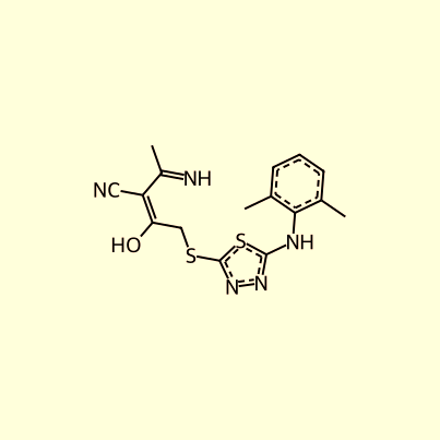 CC(=N)/C(C#N)=C(/O)CSc1nnc(Nc2c(C)cccc2C)s1